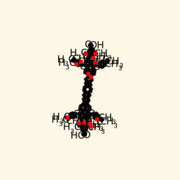 CC(C)c1cc(C(=O)O)cc(C(C)C)c1N1C(=O)c2cc(Oc3ccc(C(C)(C)C)cc3)c3c4ccc5c6c(ccc(c7c(Oc8ccc(C(C)(C)C)cc8)cc(c2c37)C1=O)c64)-c1cc2cc3c(cc2cc1-5)/C=C\c1cc2cc4c(cc2cc1/C=C\3)-c1ccc2c3c(Oc5ccc(C(C)(C)C)cc5)cc5c6c(cc(Oc7ccc(C(C)(C)C)cc7)c(c7ccc-4c1c72)c63)C(=O)N(c1c(C(C)C)cc(C(=O)O)cc1C(C)C)C5=O